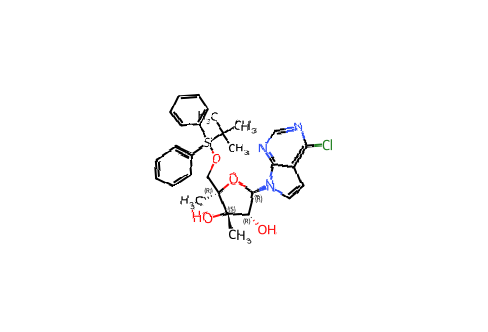 CC(C)(C)[Si](OC[C@@]1(C)O[C@@H](n2ccc3c(Cl)ncnc32)[C@H](O)[C@]1(C)O)(c1ccccc1)c1ccccc1